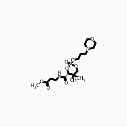 COC(=O)CCNC(=O)[C@@H]1OP(=O)(OCCCN2CCOCC2)OCC1(C)C